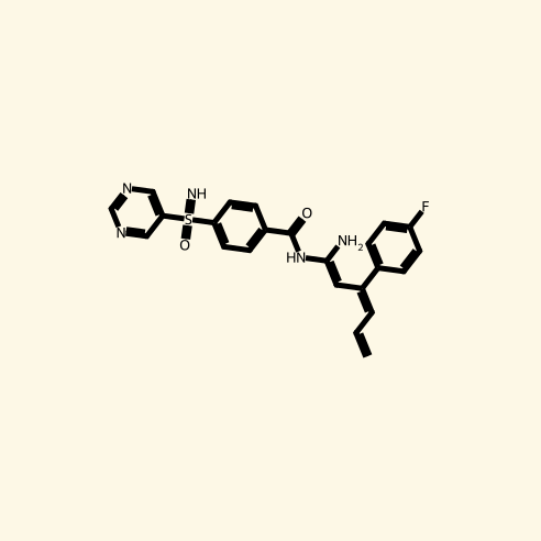 C=C/C=C(\C=C(/N)NC(=O)c1ccc(S(=N)(=O)c2cncnc2)cc1)c1ccc(F)cc1